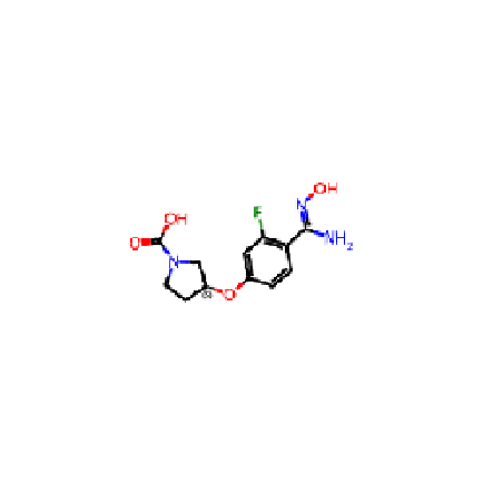 NC(=NO)c1ccc(O[C@H]2CCN(C(=O)O)C2)cc1F